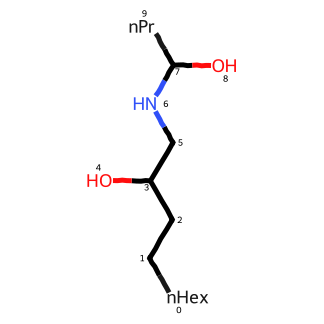 CCCCCCCCC(O)CNC(O)CCC